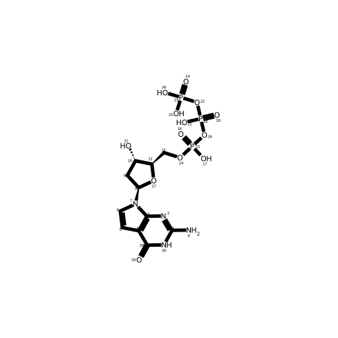 Nc1nc2c(ccn2[C@H]2C[C@H](O)[C@@H](COP(=O)(O)OP(=O)(O)OP(=O)(O)O)O2)c(=O)[nH]1